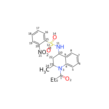 CCC(=O)N1c2ccccc2C(NS(=O)(=O)c2ccccc2[N+](=O)[O-])CC1C